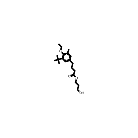 CCOc1c(C)cc(CCCC(=O)OCCCO)cc1C(C)(C)C